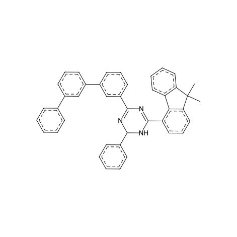 CC1(C)c2ccccc2-c2c(C3=NC(c4cccc(-c5cccc(-c6ccccc6)c5)c4)=NC(c4ccccc4)N3)cccc21